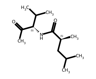 CC(=O)[C@@H](NC(=O)[C@@H](C)CC(C)C)C(C)C